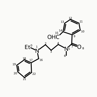 CCN(CCCN(C)C(=O)c1ccccc1C=O)Cc1ccccc1